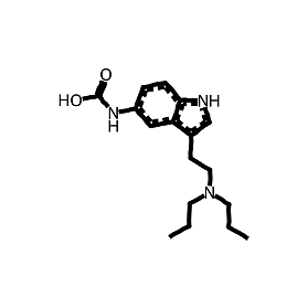 CCCN(CCC)CCc1c[nH]c2ccc(NC(=O)O)cc12